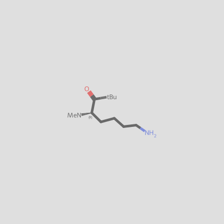 CN[C@H](CCCCN)C(=O)C(C)(C)C